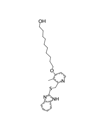 Cc1c(OCCCCCCCCCCO)ccnc1CSc1nc2ccccc2[nH]1